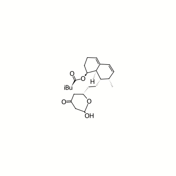 CC[C@H](C)C(=O)O[C@H]1CCC=C2C=C[C@H](C)[C@H](CC[C@H]3CC(=O)C[C@H](O)O3)[C@H]21